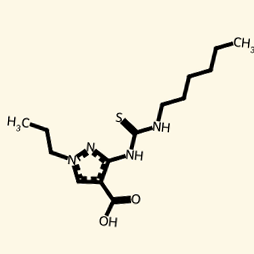 CCCCCCNC(=S)Nc1nn(CCC)cc1C(=O)O